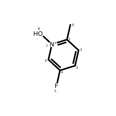 Cc1ccc(F)c[n+]1O